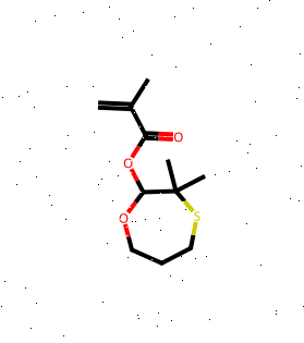 C=C(C)C(=O)OC1OCCCSC1(C)C